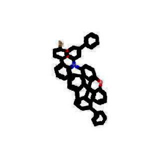 Brc1ccc(-c2ccccc2N(c2cccc(-c3ccccc3)c2)c2ccc3c(c2)C2(c4ccccc4O3)c3ccccc3-c3ccc(-c4ccccc4)cc32)cc1